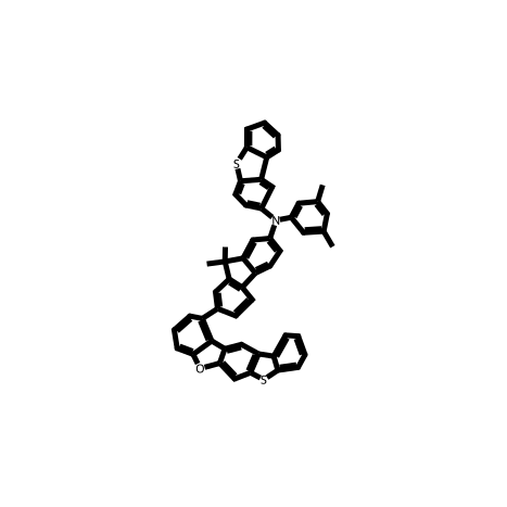 Cc1cc(C)cc(N(c2ccc3c(c2)C(C)(C)c2cc(-c4cccc5oc6cc7sc8ccccc8c7cc6c45)ccc2-3)c2ccc3sc4ccccc4c3c2)c1